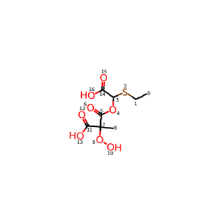 CCSC(OC(=O)C(C)(OO)C(=O)O)C(=O)O